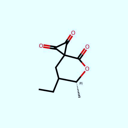 CCC1CC2(C(=O)O[C@@H]1C)C(=O)C2=O